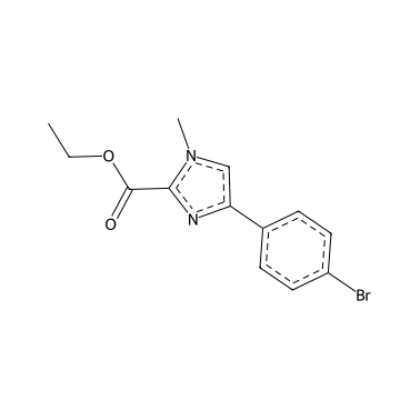 CCOC(=O)c1nc(-c2ccc(Br)cc2)cn1C